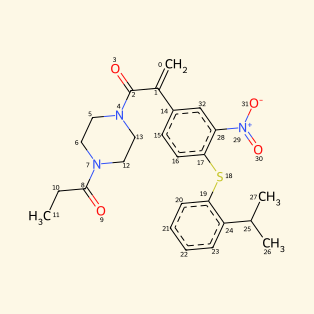 C=C(C(=O)N1CCN(C(=O)CC)CC1)c1ccc(Sc2ccccc2C(C)C)c([N+](=O)[O-])c1